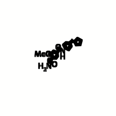 COc1cc(C(=O)Nc2ccc([CH]C3CCCC3)cc2)ccc1OC(N)=O